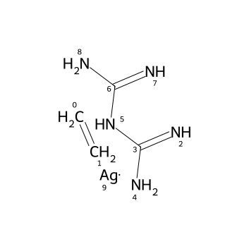 C=C.N=C(N)NC(=N)N.[Ag]